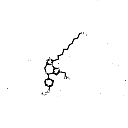 CCCCCCCCCCCc1nnc2n1-c1sc(CC)cc1C(c1ccc(OC)cc1)=NC2